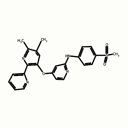 Cc1cc(Oc2ccnc(Nc3ccc(S(C)(=O)=O)cc3)c2)c(-c2ccccn2)nc1C